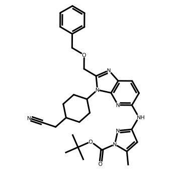 Cc1cc(Nc2ccc3nc(COCc4ccccc4)n(C4CCC(CC#N)CC4)c3n2)nn1C(=O)OC(C)(C)C